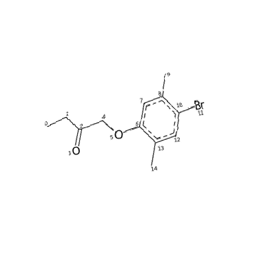 CCC(=O)COc1cc(C)c(Br)cc1C